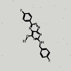 CCOc1nc(NCc2ccc(F)cc2)nc2nnc(-c3ccc(F)cc3)nc12